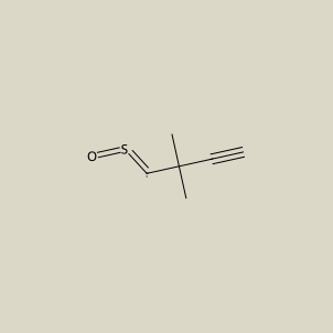 C#CC(C)(C)[C]=S=O